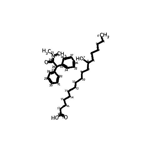 CCCCCCC(O)CCCCCCCCCCC(=O)O.CN(C)C(=O)C(c1ccccc1)c1ccccc1